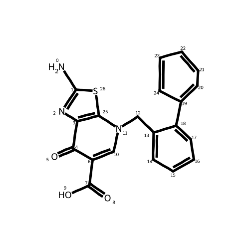 Nc1nc2c(=O)c(C(=O)O)cn(Cc3ccccc3-c3ccccc3)c2s1